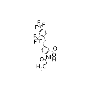 CCC(=O)Nc1ccc(/C=C/c2ccc(C(F)(F)F)cc2C(F)(F)F)cc1C(=O)O